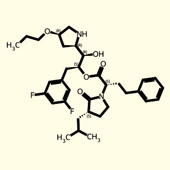 CCCO[C@H]1CN[C@@H]([C@@H](O)[C@H](Cc2cc(F)cc(F)c2)OC(=O)[C@H](CCc2ccccc2)N2CC[C@H](CC(C)C)C2=O)C1